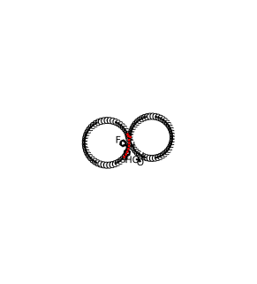 O=C(O)N1CCCCCCCCCCCCCCCCCCCCCCCCCCCCCCCCCCCCCCCC2(CCCCCCCCCCCCCCCCCCCCCCCCCCCCCCCCCCCCCCCCCCCCCC23OCCO3)CN(C(c2ccc(F)cc2)c2ccc(F)cc2)CCCC1